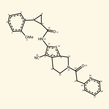 COc1ccccc1C1CC1C(=O)Nc1sc2c(c1C#N)CCN(C(=O)Cc1ccccn1)C2